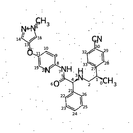 C[C@@H](CN[C@H](C(=O)Nc1ccc(Oc2cnn(C)c2)cn1)c1ccccc1)c1ccc(C#N)cc1